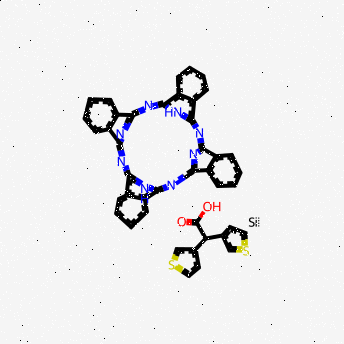 O=C(O)C(c1ccsc1)c1ccsc1.[Si].c1ccc2c(c1)-c1nc-2nc2[nH]c(nc3nc(nc4[nH]c(n1)c1ccccc41)-c1ccccc1-3)c1ccccc21